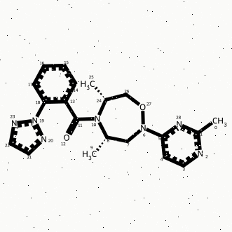 Cc1nccc(N2C[C@H](C)N(C(=O)c3ccccc3-n3nccn3)[C@H](C)CO2)n1